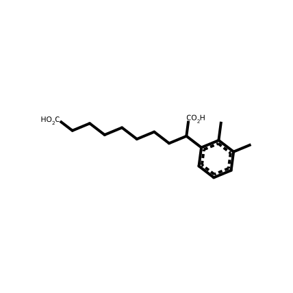 Cc1cccc(C(CCCCCCCC(=O)O)C(=O)O)c1C